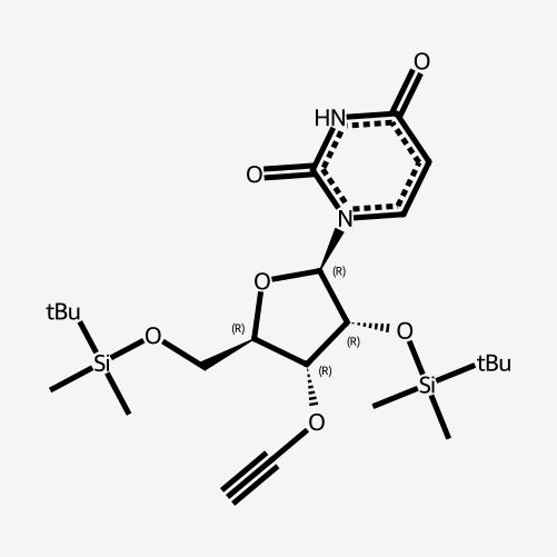 C#CO[C@H]1[C@@H](O[Si](C)(C)C(C)(C)C)[C@H](n2ccc(=O)[nH]c2=O)O[C@@H]1CO[Si](C)(C)C(C)(C)C